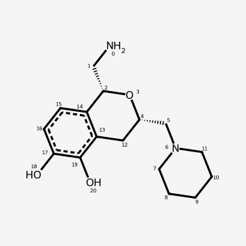 NC[C@@H]1O[C@H](CN2CCCCC2)Cc2c1ccc(O)c2O